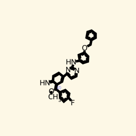 CO/C(=C1/C=C(c2ccnc(Nc3cccc(OCc4ccccc4)c3)n2)C=CC1=N)c1ccc(F)cc1